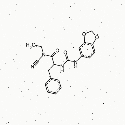 CCN(C#N)C(=O)C(Cc1ccccc1)NC(=O)Nc1ccc2c(c1)OCO2